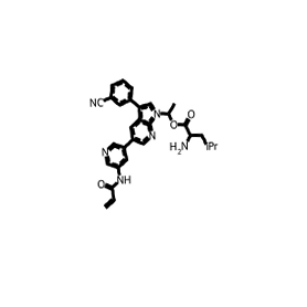 C=CC(=O)Nc1cncc(-c2cnc3c(c2)c(-c2cccc(C#N)c2)cn3C(C)OC(=O)C(N)CC(C)C)c1